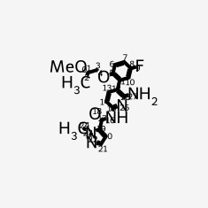 COC(C)COc1ccc(F)cc1-c1ccc(NC(=O)c2ccnn2C)nc1N